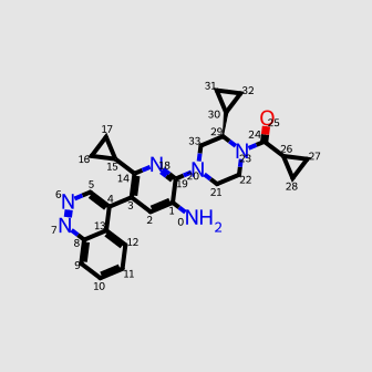 Nc1cc(-c2cnnc3ccccc23)c(C2CC2)nc1N1CCN(C(=O)C2CC2)[C@H](C2CC2)C1